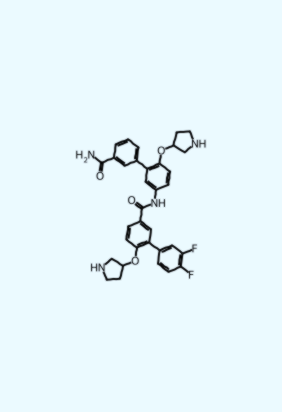 NC(=O)c1cccc(-c2cc(NC(=O)c3ccc(OC4CCNC4)c(-c4ccc(F)c(F)c4)c3)ccc2OC2CCNC2)c1